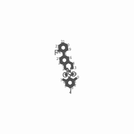 Cc1cc(I)cc(C)c1S(=O)(=O)N1CCc2cc(-c3ccccc3F)ccc2C1